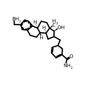 BCc1ccc2c(c1)CC[C@@H]1[C@@H]2CC[C@]2(C)[C@@H](O)C(CC3C=CC=C(C(N)=O)C3)C[C@@H]12